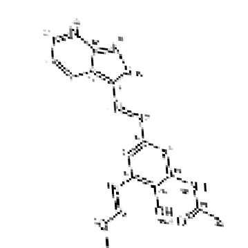 CO/C=N/c1cc(/N=N/c2snc3ncccc23)cc(NC(C)=O)c1O